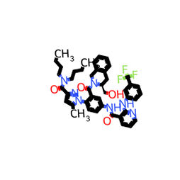 CCCCN(CCCC)C(=O)c1cc(C)n(-c2ccc(NC(=O)c3cccnc3Nc3cccc(C(F)(F)F)c3)cc2C(=O)N2Cc3ccccc3C[C@H]2CO)n1